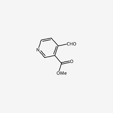 COC(=O)c1cnccc1C=O